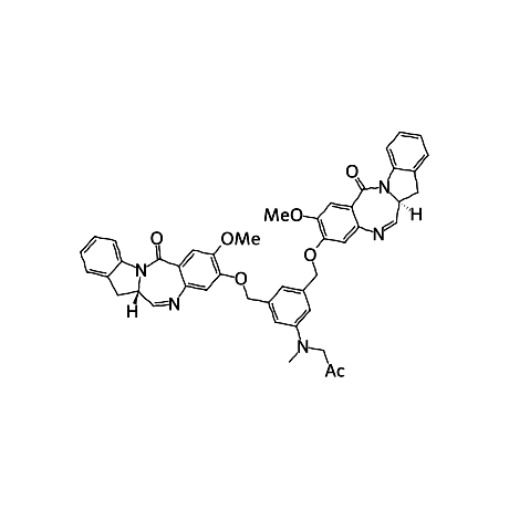 COc1cc2c(cc1OCc1cc(COc3cc4c(cc3OC)C(=O)N3c5ccccc5C[C@H]3C=N4)cc(N(C)CC(C)=O)c1)N=C[C@@H]1Cc3ccccc3N1C2=O